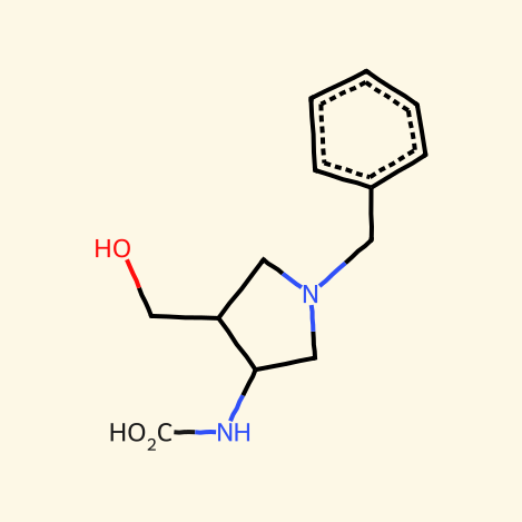 O=C(O)NC1CN(Cc2ccccc2)CC1CO